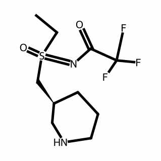 CCS(=O)(C[C@H]1CCCNC1)=NC(=O)C(F)(F)F